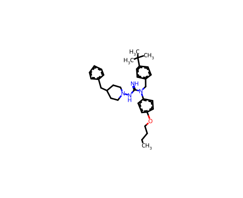 CCCCOc1ccc(N(Cc2ccc(C(C)(C)C)cc2)C(=N)NN2CCC(Cc3ccccc3)CC2)cc1